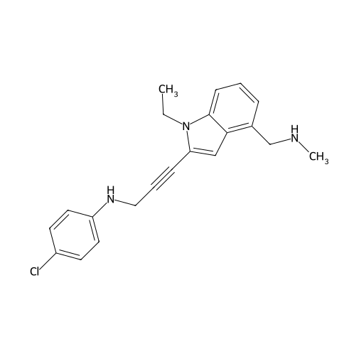 CCn1c(C#CCNc2ccc(Cl)cc2)cc2c(CNC)cccc21